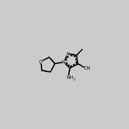 Cc1nn(C2CCOC2)c(N)c1C#N